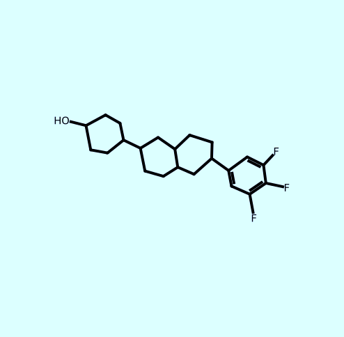 OC1CCC(C2CCC3CC(c4cc(F)c(F)c(F)c4)CCC3C2)CC1